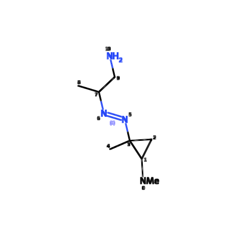 CNC1CC1(C)/N=N/C(C)CN